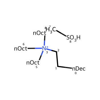 CCCCCCCCCCCC[N+](CCCCCCCC)(CCCCCCCC)CCCCCCCC.CS(=O)(=O)O